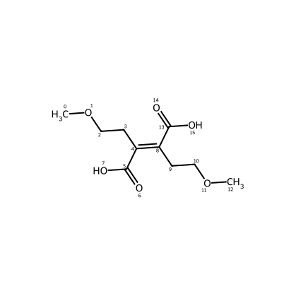 COCC/C(C(=O)O)=C(/CCOC)C(=O)O